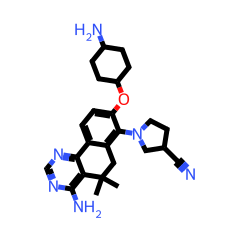 CC1(C)Cc2c(ccc(OC3CCC(N)CC3)c2N2CCC(C#N)C2)-c2ncnc(N)c21